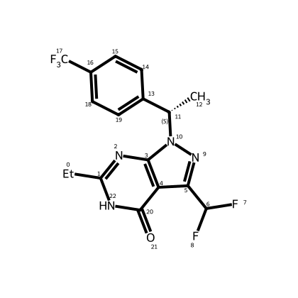 CCc1nc2c(c(C(F)F)nn2[C@@H](C)c2ccc(C(F)(F)F)cc2)c(=O)[nH]1